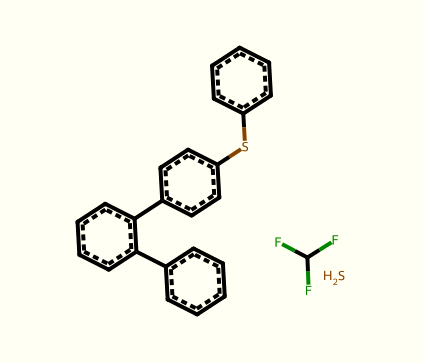 FC(F)F.S.c1ccc(Sc2ccc(-c3ccccc3-c3ccccc3)cc2)cc1